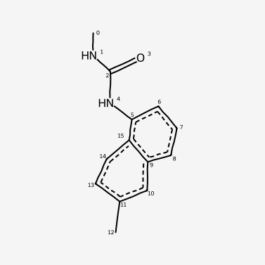 CNC(=O)Nc1cccc2cc(C)ccc12